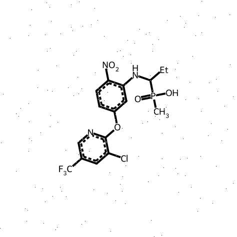 CCC(Nc1cc(Oc2ncc(C(F)(F)F)cc2Cl)ccc1[N+](=O)[O-])P(C)(=O)O